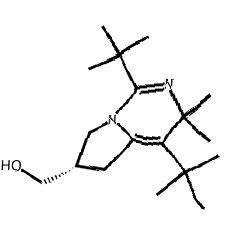 CC(C)(C)C1=NC(C)(C)C(C(C)(C)C)=C2C[C@H](CO)CN12